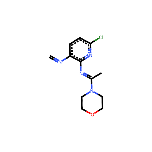 C=Nc1ccc(Cl)nc1/N=C(\C)N1CCOCC1